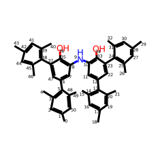 Cc1cc(C)c(-c2cc(Nc3cc(-c4c(C)cc(C)cc4C)cc(-c4c(C)cc(C)cc4C)c3O)c(O)c(-c3c(C)cc(C)cc3C)c2)c(C)c1